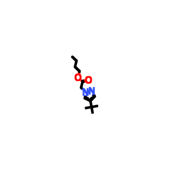 CCCCOC(=O)Cn1cc(C(C)(C)C)cn1